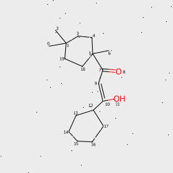 CC1(C)CCC(C)(C(=O)/C=C(\O)C2CCCCC2)CC1